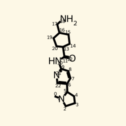 CN1CCCC1c1ccc(NC(=O)C2CCC(CN)CC2)nc1